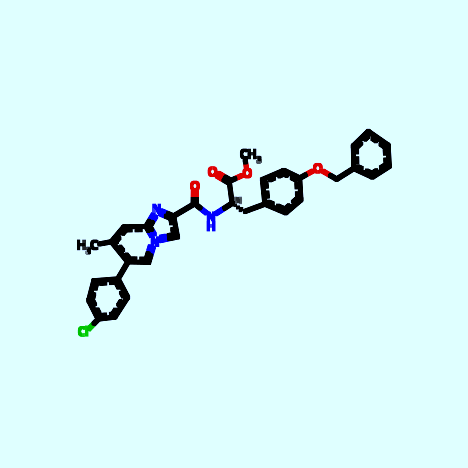 COC(=O)[C@H](Cc1ccc(OCc2ccccc2)cc1)NC(=O)c1cn2cc(-c3ccc(Cl)cc3)c(C)cc2n1